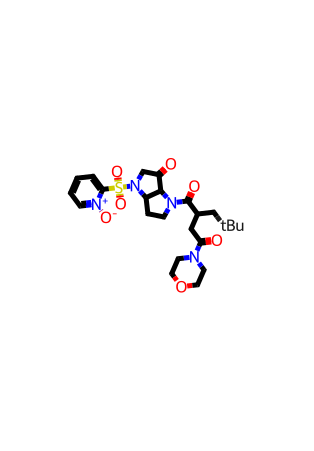 CC(C)(C)CC(CC(=O)N1CCOCC1)C(=O)N1CCC2C1C(=O)CN2S(=O)(=O)c1cccc[n+]1[O-]